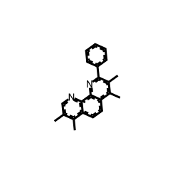 Cc1cnc2c(ccc3c(C)c(C)c(-c4ccccc4)nc32)c1C